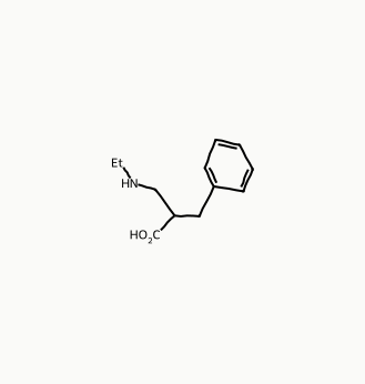 CCNCC(Cc1ccccc1)C(=O)O